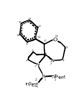 CCCCCN(CCCCC)N1CCC12[N]CCOC2c1ccccc1